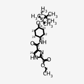 CCOC(=O)c1nc(C(=O)NC2CCC(O[Si](C)(C)C(C)(C)C)CC2)c[nH]1